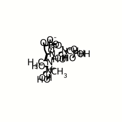 C[N+](CO)(CO)CO.C[N+](CO)(CO)CO.Cc1[nH]cnc1CC(O)P(=O)([O-])[O-].O=[PH](O)O